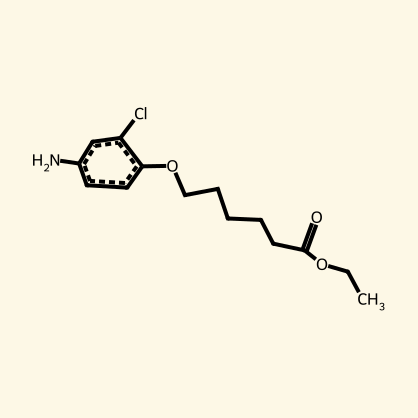 CCOC(=O)CCCCCOc1ccc(N)cc1Cl